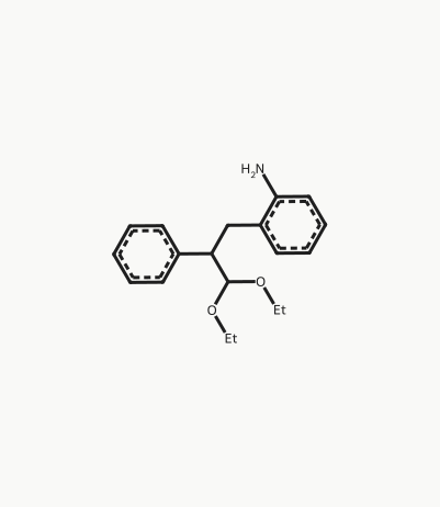 CCOC(OCC)C(Cc1ccccc1N)c1ccccc1